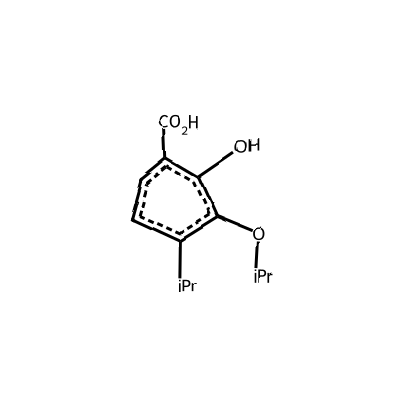 CC(C)Oc1c(C(C)C)ccc(C(=O)O)c1O